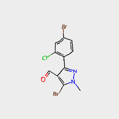 Cn1nc(-c2ccc(Br)cc2Cl)c(C=O)c1Br